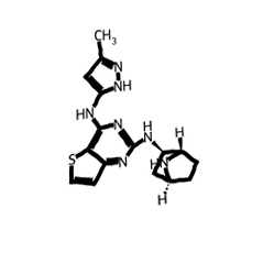 Cc1cc(Nc2nc(N[C@@H]3C[C@@H]4CC[C@@H]3N4)nc3ccsc23)[nH]n1